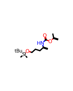 C=C(CCCO[Si](C)(C)C(C)(C)C)NC(=O)OC(=C)C